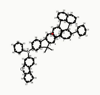 CC1(C)c2cc(-c3ccc(-c4ccccc4)c(-c4cccc5cccc(-c6ccccc6)c45)c3)ccc2-c2ccc(N(c3ccccc3)c3ccc4c(c3)oc3ccccc34)cc21